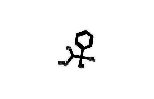 CCOC(=O)C(C(C)C)C(C)(O)c1ccccc1